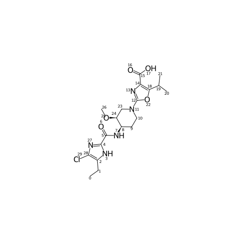 CCc1[nH]c(C(=O)N[C@@H]2CCN(c3nc(C(=O)O)c(C(C)C)o3)C[C@@H]2OC)nc1Cl